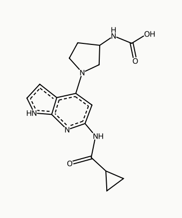 O=C(O)NC1CCN(c2cc(NC(=O)C3CC3)nc3[nH]ccc23)C1